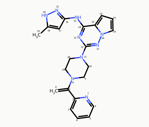 C=C(c1ccccn1)N1CCN(c2nc(Nc3cc(C)[nH]n3)c3cccn3n2)CC1